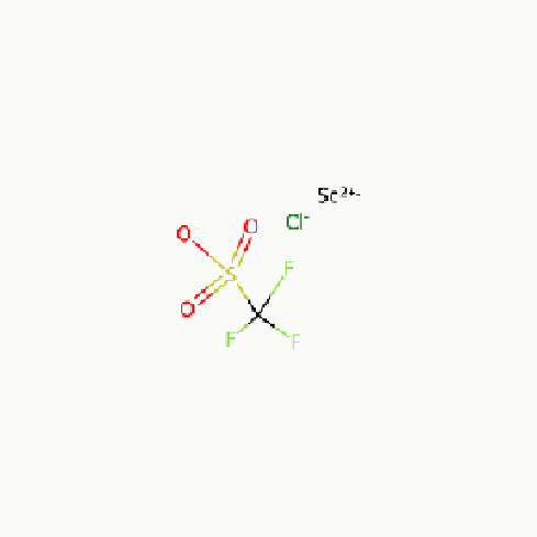 O=S(=O)([O-])C(F)(F)F.[Cl-].[Sc+2]